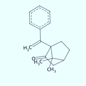 C=C(c1ccccc1)C12CCC(CC1=O)C2(C)C